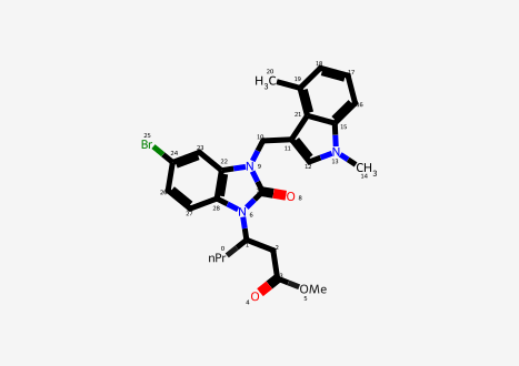 CCCC(CC(=O)OC)n1c(=O)n(Cc2cn(C)c3cccc(C)c23)c2cc(Br)ccc21